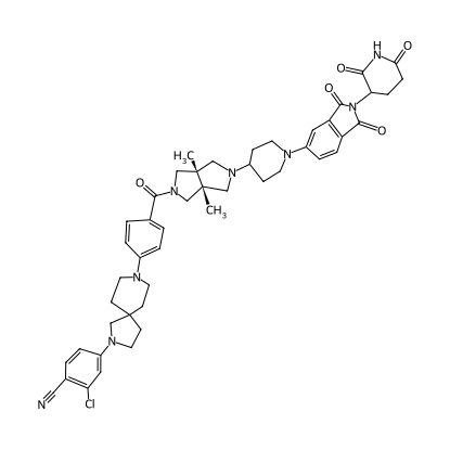 C[C@@]12CN(C(=O)c3ccc(N4CCC5(CC4)CCN(c4ccc(C#N)c(Cl)c4)C5)cc3)C[C@]1(C)CN(C1CCN(c3ccc4c(c3)C(=O)N(C3CCC(=O)NC3=O)C4=O)CC1)C2